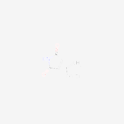 C=CC(=O)OCC.O=C1C=CC(=O)N1